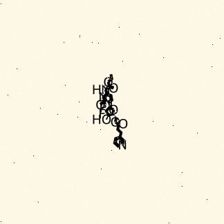 CCOC(=O)Nc1ccn([C@@H]2O[C@H](COC(=O)CCc3cccnc3)[C@@H](O)C2(F)F)c(=O)n1